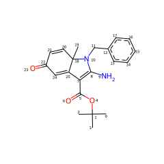 CC(C)(C)OC(=O)C1=C(N)N(Cc2ccccc2)C2(C)C=CC(=O)C=C12